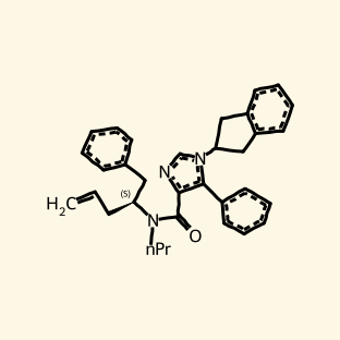 C=CC[C@@H](Cc1ccccc1)N(CCC)C(=O)c1ncn(C2Cc3ccccc3C2)c1-c1ccccc1